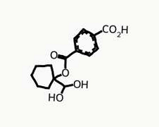 O=C(O)c1ccc(C(=O)OC2(C(O)O)CCCCC2)cc1